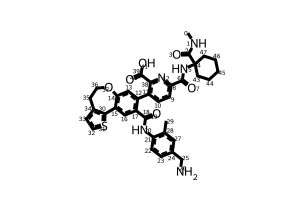 CNC(=O)C1(NC(=O)c2ccc(-c3cc4c(cc3C(=O)Nc3ccc(CN)cc3C)-c3sccc3CCO4)c(C(=O)O)n2)CCCCC1